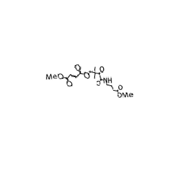 COC(=O)/C=C/C(=O)OCC(C)(C)C(=O)C(=O)NCCCC(=O)OC